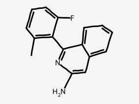 Cc1cccc(F)c1-c1nc(N)cc2ccccc12